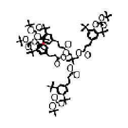 CC(C)(C)OC(=O)Oc1c(C(C)(C)C)cc(CCC(=O)OCC(COC(=O)CCc2cc(C(C)(C)C)c(OC(=O)OC(C)(C)C)c(C(C)(C)C)c2)(COC(=O)CCc2cc(C(C)(C)C)c(OC(=O)OC(C)(C)C)c(C(C)(C)C)c2)COC(=O)CCc2cc(C(C)(C)C)c(OC(=O)OC(C)(C)C)c(C(C)(C)C)c2)cc1C(C)(C)C